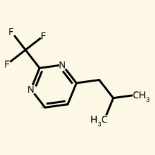 CC(C)Cc1c[c]nc(C(F)(F)F)n1